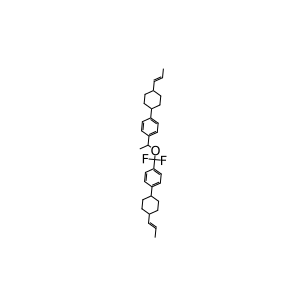 C/C=C/C1CCC(c2ccc(C(C)OC(F)(F)c3ccc(C4CCC(/C=C/C)CC4)cc3)cc2)CC1